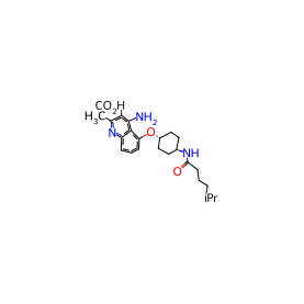 Cc1nc2cccc(O[C@H]3CC[C@H](NC(=O)CCCC(C)C)CC3)c2c(N)c1C(=O)O